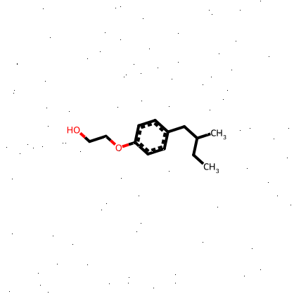 CCC(C)Cc1ccc(OCCO)cc1